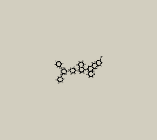 Fc1ccc2nc3c(cc(-c4ccc(-c5ccc(-c6nc(-c7ccccc7)nc(-c7ccccc7)n6)cc5)c5ccccc45)c4cccnc43)cc2c1